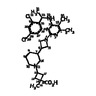 Cc1nc(N2CC(C3CCCN(C4CC(C)(C(=O)O)C4)C3)C2)nc(N[C@H](C)c2ccc(Cl)cc2Cl)c1C